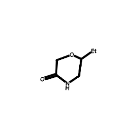 CCC1CNC(=O)CO1